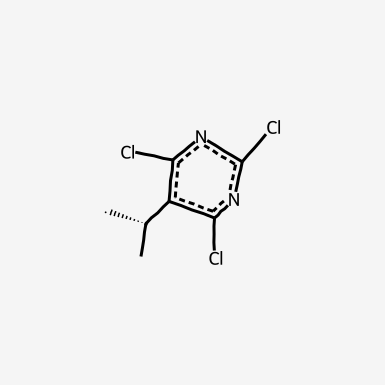 [CH2][C@@H](C)c1c(Cl)nc(Cl)nc1Cl